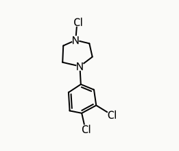 Clc1ccc(N2CCN(Cl)CC2)cc1Cl